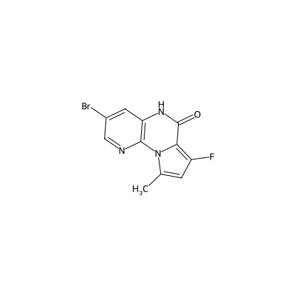 Cc1cc(F)c2c(=O)[nH]c3cc(Br)cnc3n12